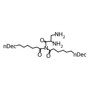 CCCCCCCCCCCCCCCC(=O)N(C(=O)CCCCCCCCCCCCCCC)C(=O)C(N)CN